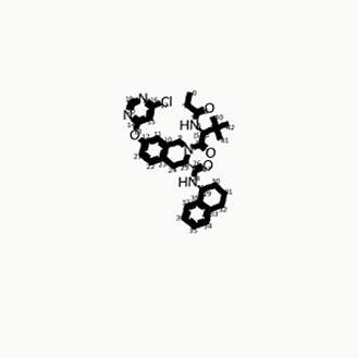 C[CH]C(=O)N[C@H](C(=O)N1Cc2cc(Oc3cc(Cl)ncn3)ccc2C[C@H]1C(=O)N[C@@H]1CCCc2ccccc21)C(C)(C)C